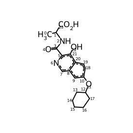 CC(NC(=O)c1ncc2cc(OC3CCCCC3)ccc2c1O)C(=O)O